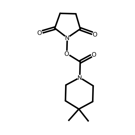 CC1(C)CCN(C(=O)ON2C(=O)CCC2=O)CC1